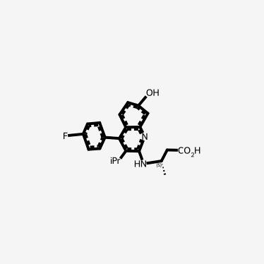 CC(C)c1c(N[C@@H](C)CC(=O)O)nc2cc(O)ccc2c1-c1ccc(F)cc1